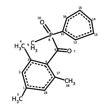 Cc1cc(C)c(C(=O)P(C)(=O)c2ccccc2)c(C)c1